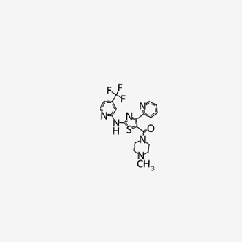 CN1CCN(C(=O)c2sc(Nc3cc(C(F)(F)F)ccn3)nc2-c2ccccn2)CC1